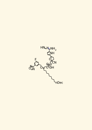 CCCCCCCCCCCCCCCCCCC[C@H](COP(=O)(O)OC[C@]1(C#N)CC[C@H](c2ccc(/C(N)=N\C=N)[nH]2)O1)OCc1cc(F)cc(-c2ncon2)c1